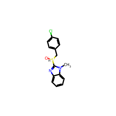 Cn1c([S@@+]([O-])Cc2ccc(Cl)cc2)nc2ccccc21